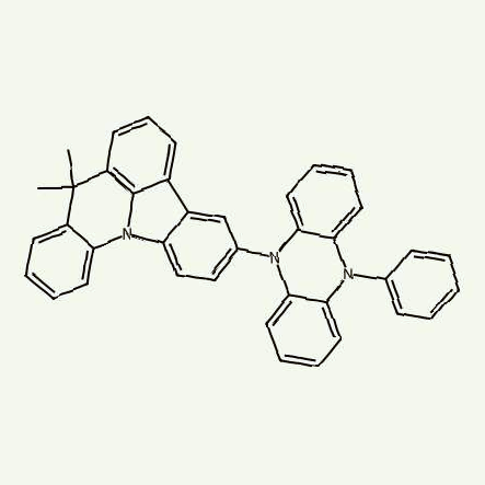 CC1(C)c2ccccc2-n2c3ccc(N4c5ccccc5N(c5ccccc5)c5ccccc54)cc3c3cccc1c32